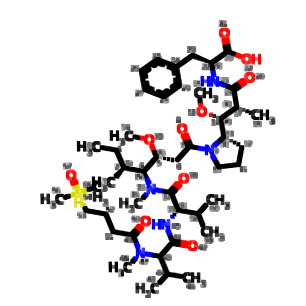 CC[C@H](C)[C@@H]([C@@H](CC(=O)N1CCC[C@H]1[C@H](OC)[C@@H](C)C(=O)N[C@@H](Cc1ccccc1)C(=O)O)OC)N(C)C(=O)[C@@H](NC(=O)C(C(C)C)N(C)C(=O)CCC[SH](C)(C)=O)C(C)C